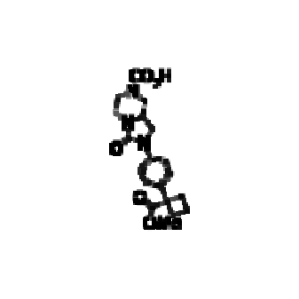 COC(=O)C1(c2ccc(N3CC4CN(C(=O)O)CCN4C3=O)cc2)CCC1